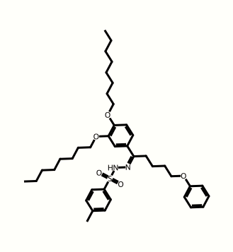 CCCCCCCCOc1ccc(/C(CCCCOc2ccccc2)=N\NS(=O)(=O)c2ccc(C)cc2)cc1OCCCCCCCC